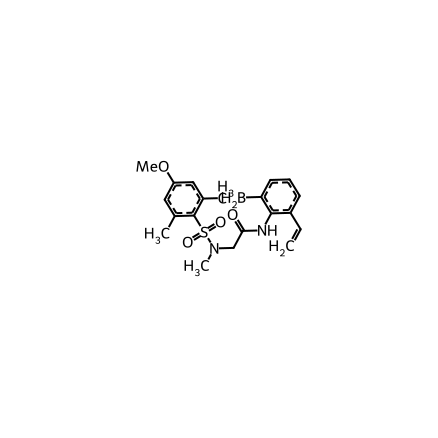 Bc1cccc(C=C)c1NC(=O)CN(C)S(=O)(=O)c1c(C)cc(OC)cc1C